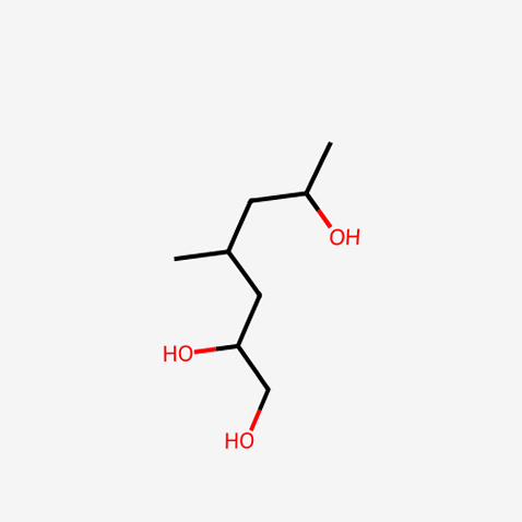 CC(O)CC(C)CC(O)CO